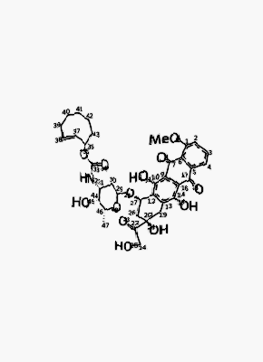 COc1cccc2c1C(=O)c1c(O)c3c(c(O)c1C2=O)C[C@](O)(C(=O)CO)C[C@H]3OC1C[C@@H](NC(=O)OC2/C=C/CCCCC2)[C@@H](O)[C@@H](C)O1